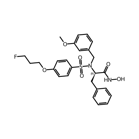 COc1cccc(CN([C@H](Cc2ccccc2)C(=O)NO)S(=O)(=O)c2ccc(OCCCF)cc2)c1